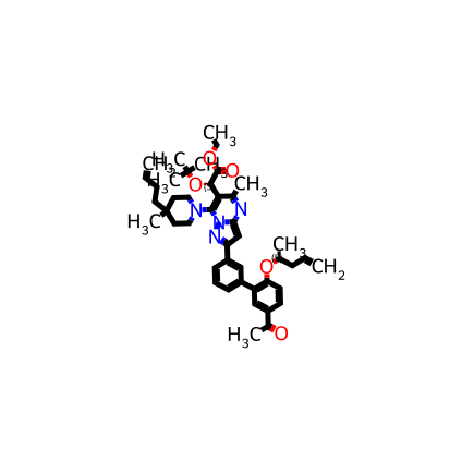 C=CCCC1(C)CCN(c2c([C@H](OC(C)(C)C)C(=O)OCC)c(C)nc3cc(-c4cccc(-c5cc(C(C)=O)ccc5O[C@@H](C)CC=C)c4)nn23)CC1